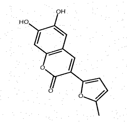 Cc1ccc(-c2cc3cc(O)c(O)cc3oc2=O)o1